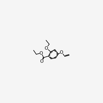 C=COc1ccc(C(=O)OCC)c(OCC)c1